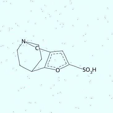 O=S(=O)(O)c1cc2c(o1)C1CCN(CC1)C2